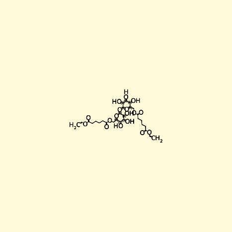 C=COC(=O)CCCCC(=O)OC[C@H]1O[C@H](O[C@H]2O[C@H](COC(=O)CCCCC(=O)OC=C)[C@@H](O)[C@H](O)[C@H]2O)[C@H](O)[C@@H](O)[C@@H]1O